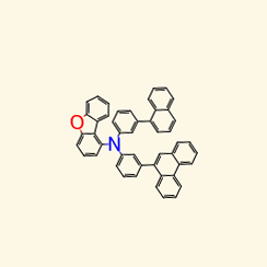 c1cc(-c2cccc3ccccc23)cc(N(c2cccc(-c3cc4ccccc4c4ccccc34)c2)c2cccc3oc4ccccc4c23)c1